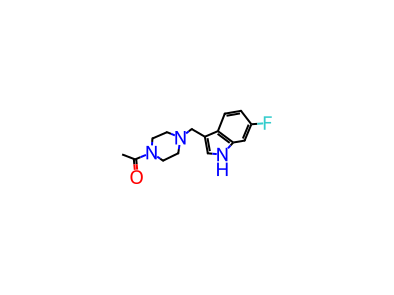 CC(=O)N1CCN(Cc2c[nH]c3cc(F)ccc23)CC1